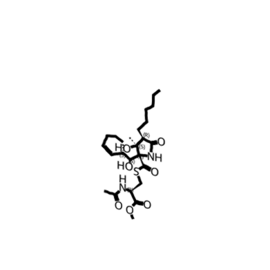 CCCCCC[C@H]1C(=O)N[C@](C(=O)SC[C@H](NC(C)=O)C(=O)OC)([C@@H](O)[C@@H]2C=CCCC2)[C@@]1(C)O